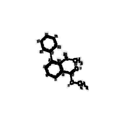 COC(=O)c1cccc(-c2ccccc2)c1SC